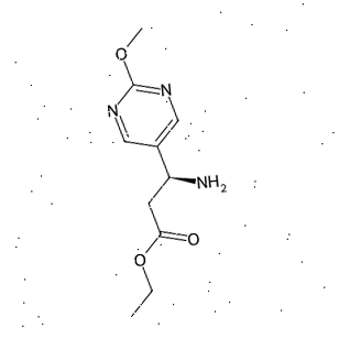 CCOC(=O)C[C@H](N)c1cnc(OC)nc1